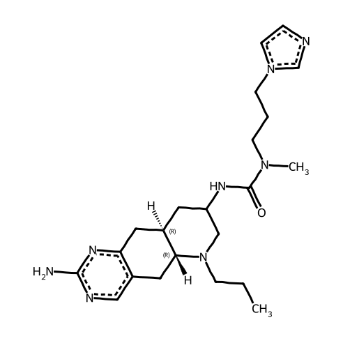 CCCN1CC(NC(=O)N(C)CCCn2ccnc2)C[C@@H]2Cc3nc(N)ncc3C[C@H]21